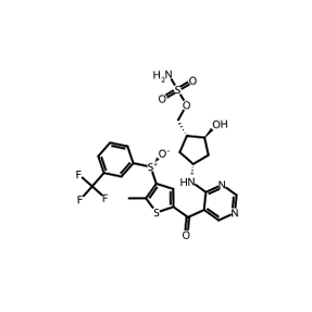 Cc1sc(C(=O)c2cncnc2N[C@@H]2C[C@H](COS(N)(=O)=O)[C@@H](O)C2)cc1[S@+]([O-])c1cccc(C(F)(F)F)c1